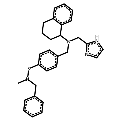 CN(Cc1ccccc1)Sc1ccc(CN(Cc2ncc[nH]2)C2CCCc3ccccc32)cc1